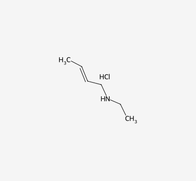 CC=CCNCC.Cl